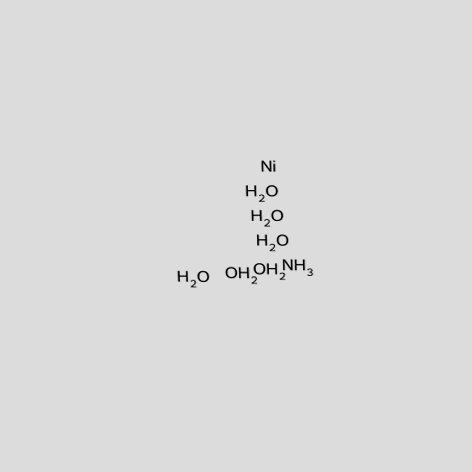 N.O.O.O.O.O.O.[Ni]